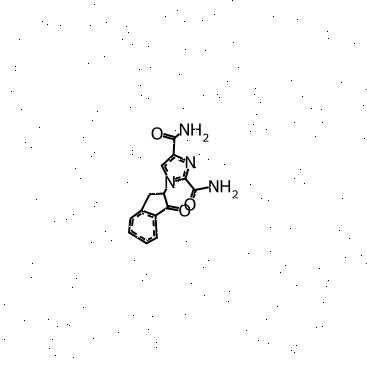 NC(=O)c1cn(C2Cc3ccccc3C2=O)c(C(N)=O)n1